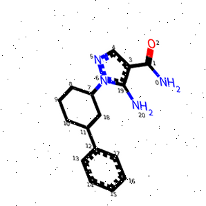 NC(=O)c1cnn(C2CCCC(c3ccccc3)C2)c1N